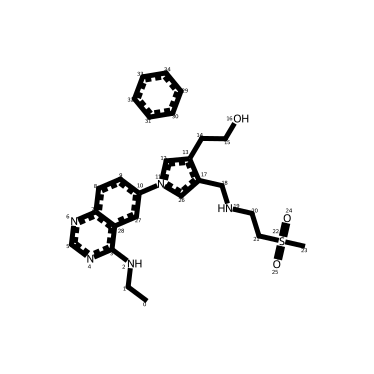 CCNc1ncnc2ccc(-n3cc(CCO)c(CNCCS(C)(=O)=O)c3)cc12.c1ccccc1